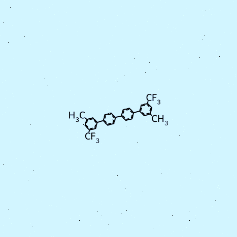 Cc1cc(-c2ccc(-c3ccc(-c4cc(C)cc(C(F)(F)F)c4)cc3)cc2)cc(C(F)(F)F)c1